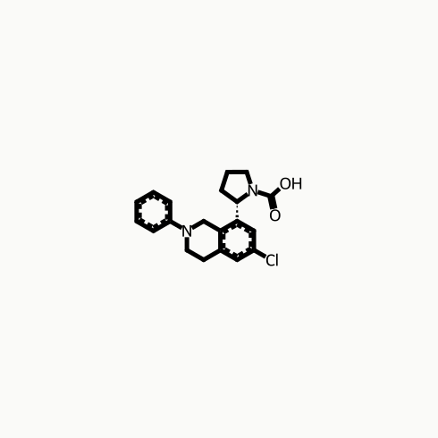 O=C(O)N1CCC[C@H]1c1cc(Cl)cc2c1CN(c1ccccc1)CC2